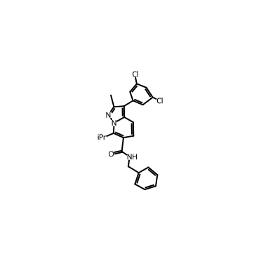 Cc1nn2c(C(C)C)c(C(=O)NCc3ccccc3)ccc2c1-c1cc(Cl)cc(Cl)c1